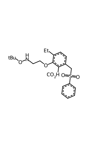 CCc1ccc(CS(=O)(=O)c2ccccc2)c(C(=O)O)c1OCCNOC(C)(C)C